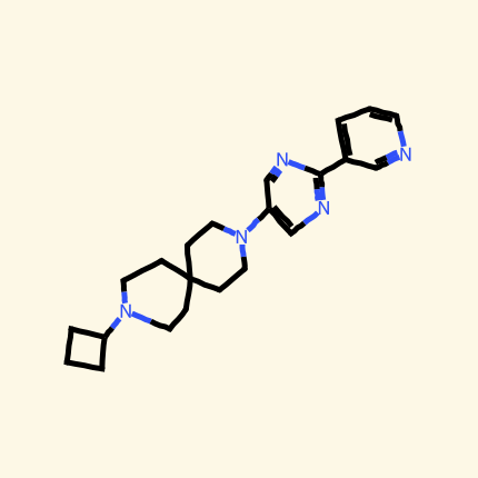 c1cncc(-c2ncc(N3CCC4(CC3)CCN(C3CCC3)CC4)cn2)c1